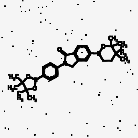 CC1(C)CCB(c2ccc3c(c2)CN(c2ccc(B4OC(C)(C)C(C)(C)O4)cc2)C3=O)OC1(C)C